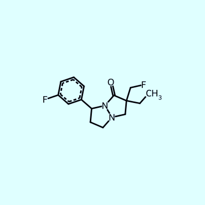 CCC1(CF)CN2CCC(c3cccc(F)c3)N2C1=O